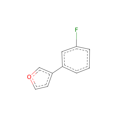 Fc1cccc(-c2ccoc2)c1